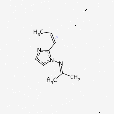 C/C=C\c1nccn1N=C(C)C